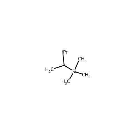 [CH2]C(C(C)C)[Si](C)(C)C